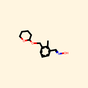 Cc1c(C=NO)cccc1COC1CCCCO1